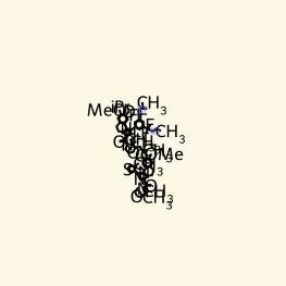 C/C=C/C(F)(F)c1cc(-c2nc(C(=O)N3CCOC(CC(C)Oc4cc5c(cc4OC)CCc4c(C(=O)N6CCOCC6(C)C)nc(-c6cscc6C)n4-5)C3(C)C)c3n2-c2cc(OC(C)C)c(OC)cc2CC3)cc(C(F)(F)/C=C/C)c1